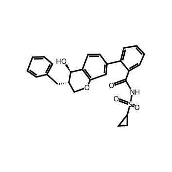 O=C(NS(=O)(=O)C1CC1)c1ccccc1-c1ccc2c(c1)OC[C@H](Cc1ccccc1)[C@H]2O